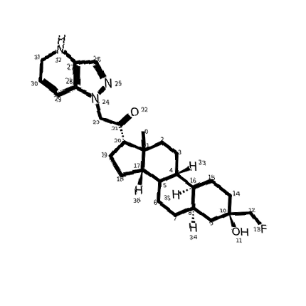 CC12CC[C@H]3C(CC[C@@H]4C[C@@](O)(CF)CC[C@@H]43)[C@@H]1CC[C@@H]2C(=O)Cn1ncc2c1C=CCN2